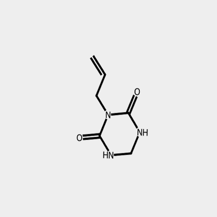 C=CCN1C(=O)NCNC1=O